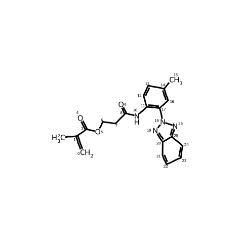 C=C(C)C(=O)OCCC(=O)Nc1ccc(C)cc1-n1nc2ccccc2n1